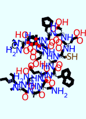 CC/C=C(\CC)CN(C)C[C@H](NC(=O)[C@H](C)N)C(=O)N[C@H](C)C(=O)N[C@@H](CC(N)=O)C(=O)N[C@@H](CCC(=O)O)C(=O)N[C@@H](Cc1cccc2ccccc12)C(=O)N[C@H](C)C(=O)N[C@H](CS)C(=O)N[C@@H](CCC(=O)O)C(=O)N[C@@H](CC(=O)O)C(=O)N[C@@H](Cc1ccccc1)C(=O)N[C@@H](Cc1ccc(O)cc1)C(=O)N[C@@H](CC(=O)O)C(=O)N[C@H](C(=O)N[C@@H](CN(C)CC)C(N)=O)C(C)(C)C